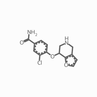 NC(=O)c1ccc(OC2CNCc3ccoc32)c(Cl)c1